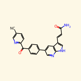 N#Cc1ccc(C(=O)c2ccc(-c3cnc4[nH]cc(/C=C/C(N)=O)c4c3)cc2)nc1